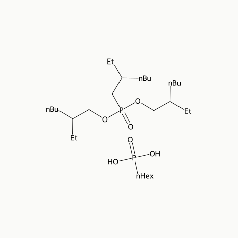 CCCCC(CC)COP(=O)(CC(CC)CCCC)OCC(CC)CCCC.CCCCCCP(=O)(O)O